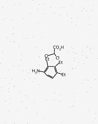 CCc1ccc(N)c(CC)c1CC.O=C(O)C(Cl)Cl